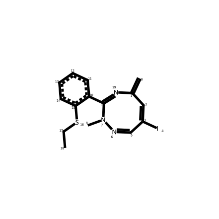 C=C1/C=C(I)\C=N/N(C)/C(c2ccccc2SCC)=N\1